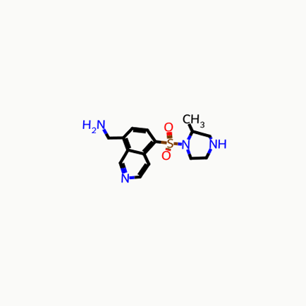 CC1CNCCN1S(=O)(=O)c1ccc(CN)c2cnccc12